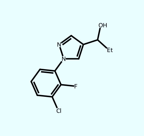 CCC(O)c1cnn(-c2cccc(Cl)c2F)c1